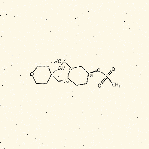 CS(=O)(=O)O[C@H]1CC[C@H](CC2(O)CCOCC2)N(C(=O)O)C1